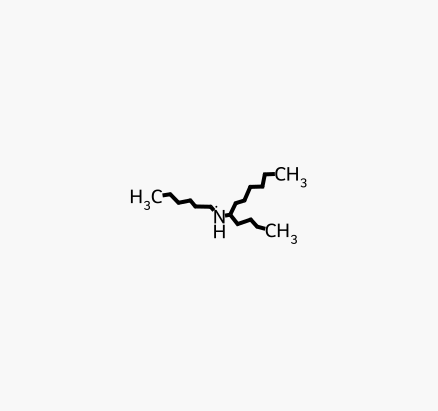 CCCCC[CH]NC(CCCC)CCCCCC